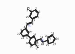 Fc1cccc(/C=C/c2cccc(-c3ccc(F)c(/C=C/c4ccccc4)c3)c2)c1